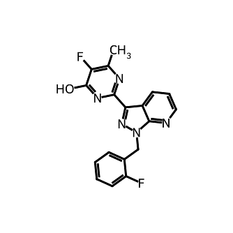 Cc1nc(-c2nn(Cc3ccccc3F)c3ncccc23)nc(O)c1F